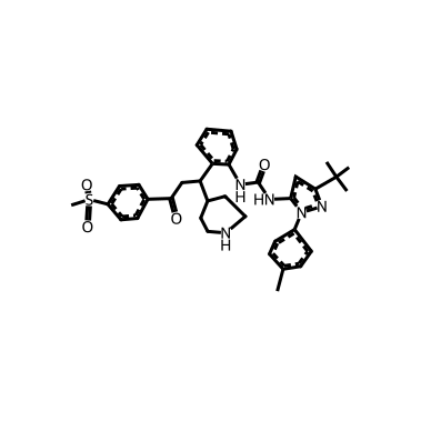 Cc1ccc(-n2nc(C(C)(C)C)cc2NC(=O)Nc2ccccc2C(CC(=O)c2ccc(S(C)(=O)=O)cc2)C2CCNCC2)cc1